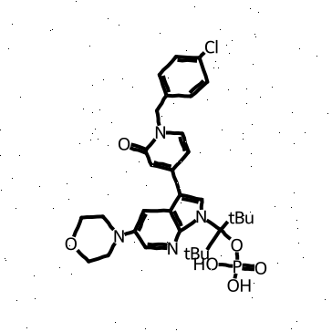 CC(C)(C)C(OP(=O)(O)O)(n1cc(-c2ccn(Cc3ccc(Cl)cc3)c(=O)c2)c2cc(N3CCOCC3)cnc21)C(C)(C)C